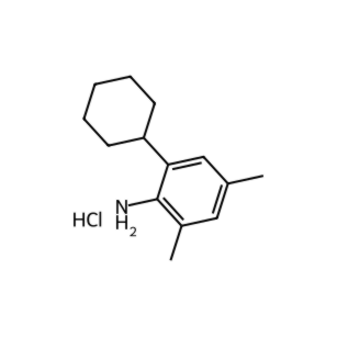 Cc1cc(C)c(N)c(C2CCCCC2)c1.Cl